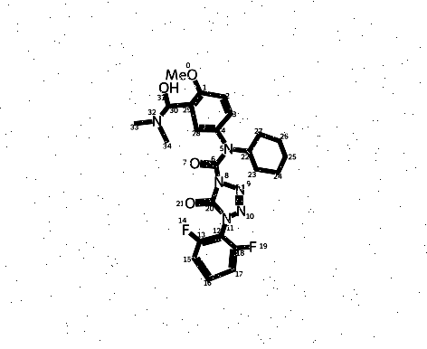 COc1ccc(N(C(=O)n2nnn(-c3c(F)cccc3F)c2=O)C2CCCCC2)cc1C(O)N(C)C